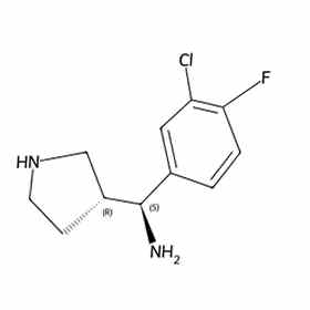 N[C@H](c1ccc(F)c(Cl)c1)[C@@H]1CCNC1